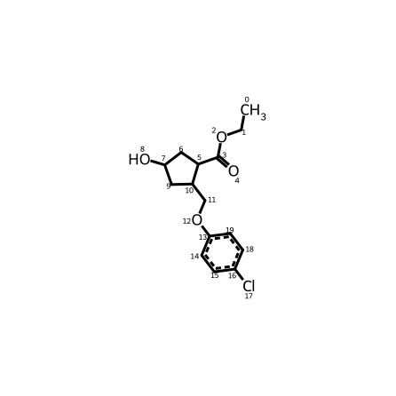 CCOC(=O)C1CC(O)CC1COc1ccc(Cl)cc1